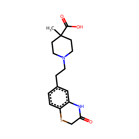 CC1(C(=O)O)CCN(CCc2ccc3c(c2)NC(=O)CS3)CC1